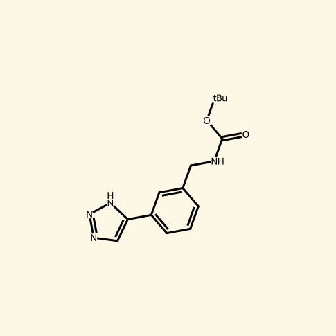 CC(C)(C)OC(=O)NCc1cccc(-c2cnn[nH]2)c1